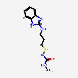 CNC(=O)NSCCCNc1nc2ccccc2[nH]1